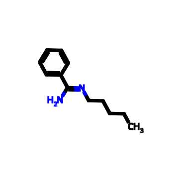 CCCCCN=C(N)c1ccccc1